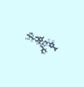 Cc1ncnc(C(=O)N2CCC3(CC2)CC(C)c2c3c(=O)n3nc(C4=CCOCC4)nc3n2CC(=O)Nc2ccc(C3CC3)cc2Cl)c1O